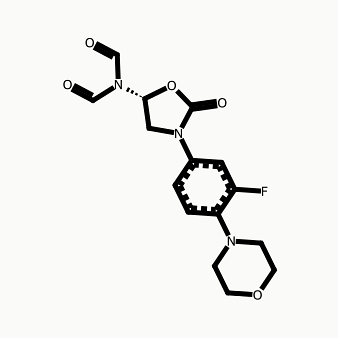 O=CN(C=O)[C@H]1CN(c2ccc(N3CCOCC3)c(F)c2)C(=O)O1